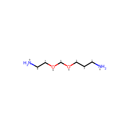 NCCCOCOCCN